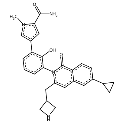 Cn1cc(-c2cccc(-n3c(CC4CNC4)cc4cc(C5CC5)ccc4c3=O)c2O)cc1C(N)=O